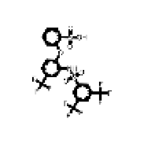 O=S(=O)(O)c1ccccc1Oc1ccc(C(F)(F)F)cc1NS(=O)(=O)c1cc(C(F)(F)F)cc(C(F)(F)F)c1